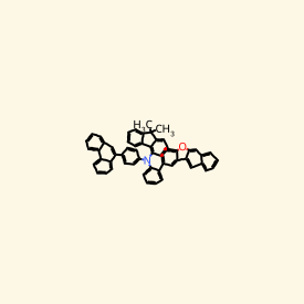 CC1(C)c2ccccc2-c2c(N(c3ccc(-c4cc5ccccc5c5ccccc45)cc3)c3ccccc3-c3ccc4oc5cc6ccccc6cc5c4c3)cccc21